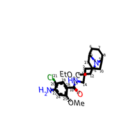 CCOC(=O)CCCN1C2CCCC1CC(CCCNC(=O)c1cc(Cl)c(N)cc1OC)C2